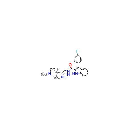 CC(C)(C)N(C[C@H]1CN[C@H](CNC(=O)c2[nH]c3ccccc3c2-c2ccc(F)cc2)C1)C(=O)O